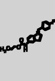 C=CCOC(=O)Nc1ccc2c(ccn2Cc2ccc(F)cc2)c1